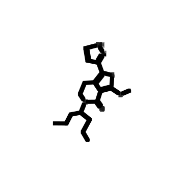 CCCC(CCC)N1CCc2c(-c3cc[nH]n3)sc(SC)c2C1=O